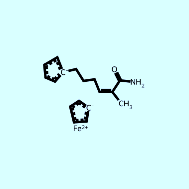 CC(=CCCC[c-]1cccc1)C(N)=O.[Fe+2].c1cc[cH-]c1